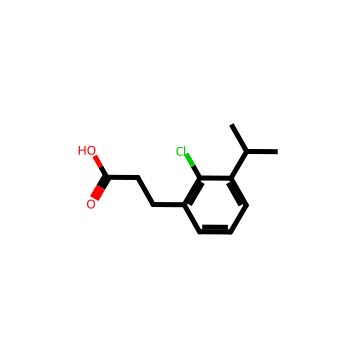 CC(C)c1cccc(CCC(=O)O)c1Cl